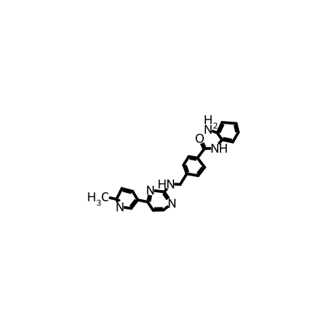 Cc1ccc(-c2ccnc(NCc3ccc(C(=O)Nc4ccccc4N)cc3)n2)cn1